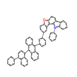 c1ccc(-c2ccc(-c3c4ccccc4c(-c4cccc(-c5ccc6oc7ccc8c9ccccc9n(-c9ccccc9)c8c7c6c5)c4)c4ccccc34)c3ccccc23)cc1